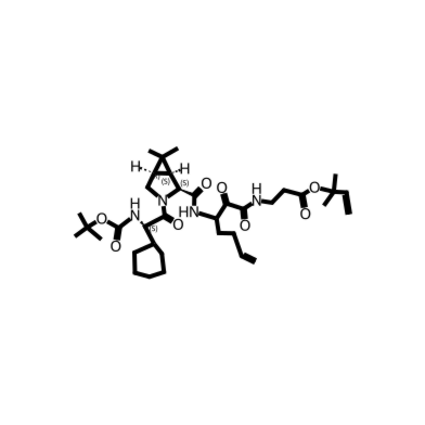 C=CCCC(NC(=O)[C@@H]1[C@H]2[C@@H](CN1C(=O)[C@@H](NC(=O)OC(C)(C)C)C1CCCCC1)C2(C)C)C(=O)C(=O)NCCC(=O)OC(C)(C)C=C